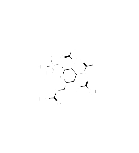 CC(=O)OC[C@H]1O[C@@H](O[Si](C)(C)C)[C@H](OC(C)=O)[C@@H](OC(C)=O)[C@@H]1OC(C)=O